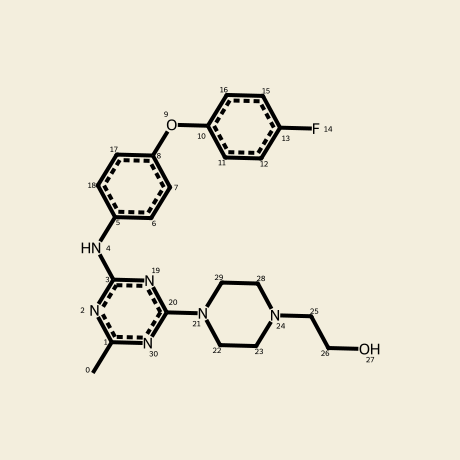 Cc1nc(Nc2ccc(Oc3ccc(F)cc3)cc2)nc(N2CCN(CCO)CC2)n1